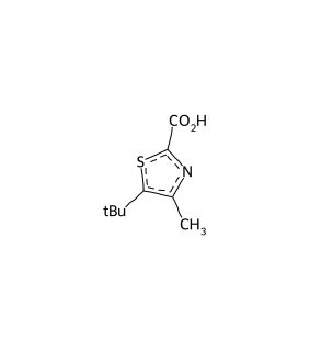 Cc1nc(C(=O)O)sc1C(C)(C)C